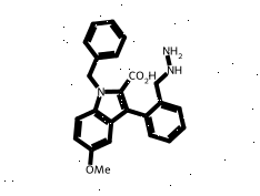 COc1ccc2c(c1)c(-c1ccccc1CNN)c(C(=O)O)n2Cc1ccccc1